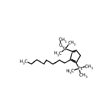 CCCCCCCCC1=[C]([Pt]([CH3])([CH3])[CH3])CC=C1[Si](C)(C)OC